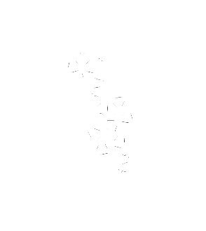 Cc1ccc(C2(c3ccc(C)cc3)c3cc(-c4nc5sc(C)nc5s4)ccc3-c3cc4c(cc32)-c2ccc(-c3nc5sc(/C=C6\C(=O)c7ccccc7C6=C(C#N)C#N)nc5s3)cc2C4(c2ccc(C)cc2)c2ccc(C)cc2)cc1